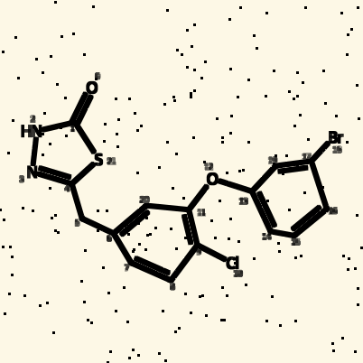 O=c1[nH]nc(Cc2ccc(Cl)c(Oc3cccc(Br)c3)c2)s1